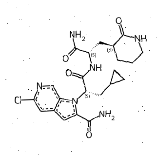 NC(=O)c1cc2cc(Cl)ncc2n1[C@@H](CC1CC1)C(=O)N[C@@H](C[C@@H]1CCCNC1=O)C(N)=O